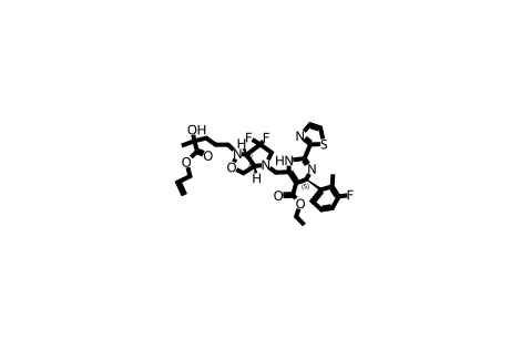 C=CCOC(=O)C(C)(O)CCCN1OC[C@@H]2[C@H]1C(F)(F)CN2CC1=C(C(=O)OCC)[C@H](c2cccc(F)c2C)N=C(c2nccs2)N1